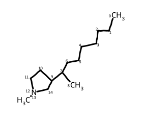 CCCCCCCC(C)C1CCN(C)C1